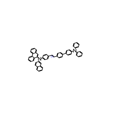 C(=C\c1ccc(N(c2ccc3ccccc3c2)c2cc3ccccc3c3ccccc23)cc1)/c1ccc(-c2ccc(N(c3ccccc3)c3ccccc3)cc2)cc1